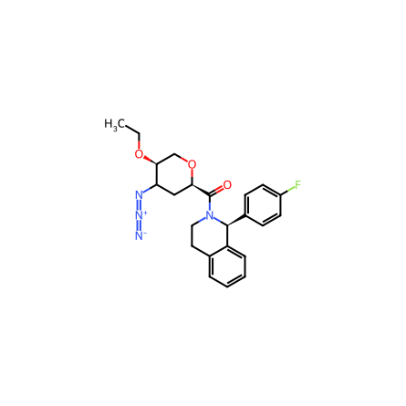 CCO[C@H]1CO[C@@H](C(=O)N2CCc3ccccc3[C@@H]2c2ccc(F)cc2)CC1N=[N+]=[N-]